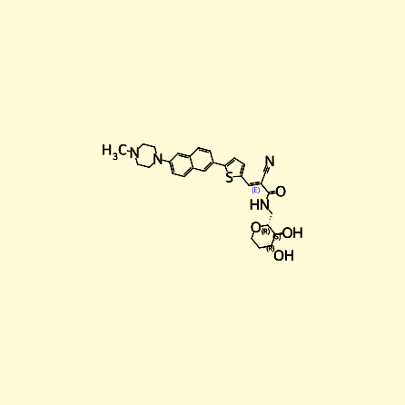 CN1CCN(c2ccc3cc(-c4ccc(/C=C(\C#N)C(=O)NC[C@H]5OCC[C@@H](O)[C@@H]5O)s4)ccc3c2)CC1